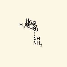 CNC(=O)CCC(C=O)N1Cc2c(NC(=O)CCCCCCCNCCCN)cccc2C1=O